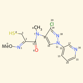 CO/N=C(\CS)C(=O)N(C)c1cn(-c2cccnc2)nc1Cl